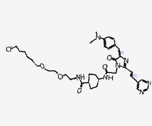 CN(C)c1ccc(/C=C2N=C(/C=C/c3cncnc3)N(CC(=O)NC3CCC(C(=O)NCCOCCOCCCCCCCl)CC3)C/2=O)cc1